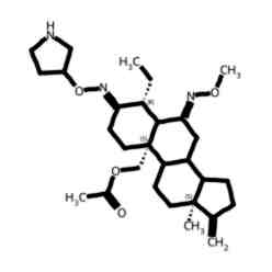 C=C1CCC2C3CC(=NOC)C4[C@@H](CC)C(=NOC5CCNC5)CC[C@]4(COC(C)=O)C3CC[C@]12C